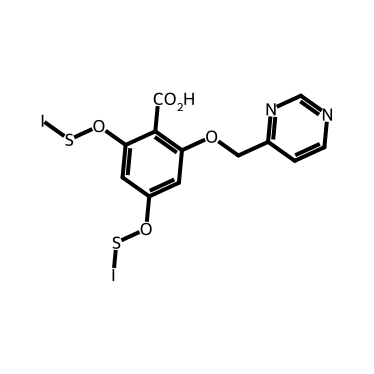 O=C(O)c1c(OCc2ccncn2)cc(OSI)cc1OSI